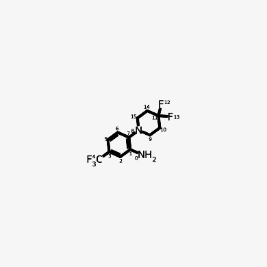 Nc1cc(C(F)(F)F)ccc1N1CCC(F)(F)CC1